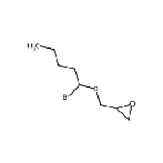 CCCCC(Br)OCC1CO1